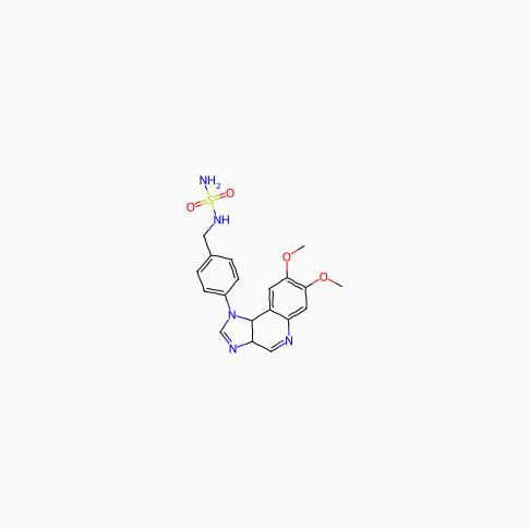 COc1cc2c(cc1OC)C1C(C=N2)N=CN1c1ccc(CNS(N)(=O)=O)cc1